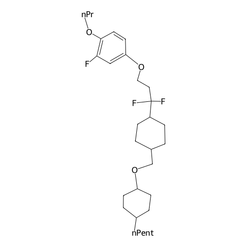 CCCCCC1CCC(OCC2CCC(C(F)(F)CCOc3ccc(OCCC)c(F)c3)CC2)CC1